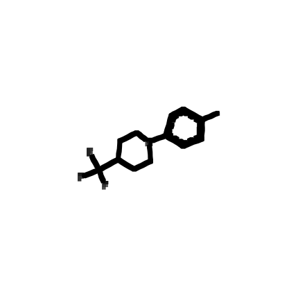 Cc1ccc(N2CCC(C(F)(F)F)CC2)cc1